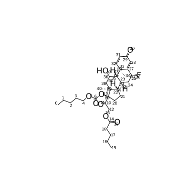 CCCCCOC(=O)O[C@]1(C(=O)COC(=O)CCCC)CC[C@H]2[C@@H]3C[C@H](F)C4=CC(=O)C=C[C@]4(C)[C@H]3C(O)C[C@@]21C